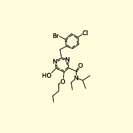 CCCCOc1c(O)nc(Cc2ccc(Cl)cc2Br)nc1C(=O)N(CC)C(C)C